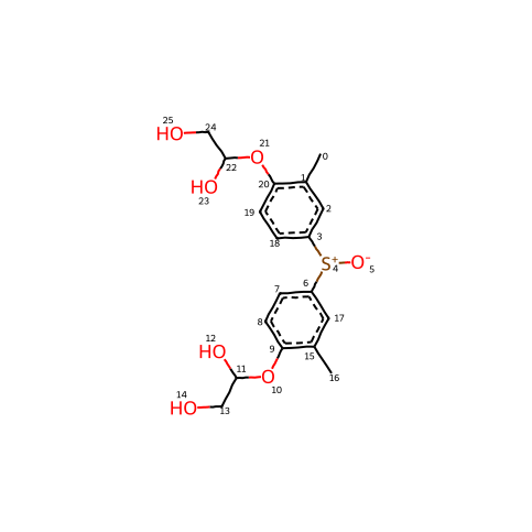 Cc1cc([S+]([O-])c2ccc(OC(O)CO)c(C)c2)ccc1OC(O)CO